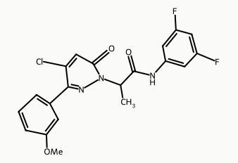 COc1cccc(-c2nn(C(C)C(=O)Nc3cc(F)cc(F)c3)c(=O)cc2Cl)c1